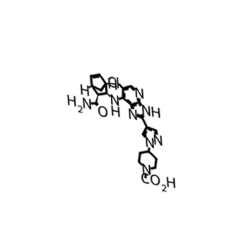 NC(=O)[C@@H]1[C@H](Nc2c(Cl)cnc3[nH]c(-c4cnn(C5CCN(C(=O)O)CC5)c4)nc23)[C@H]2C=C[C@@H]1C2